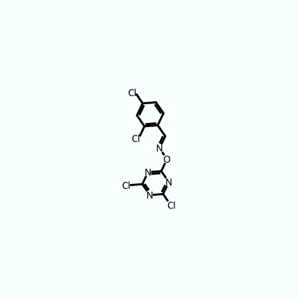 Clc1ccc(/C=N/Oc2nc(Cl)nc(Cl)n2)c(Cl)c1